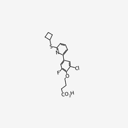 O=C(O)CCCOc1c(F)cc(-c2cccc(SC3CCC3)n2)cc1Cl